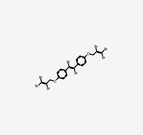 BrC(Br)=C(Br)COc1ccc(C(Br)=C(Br)c2ccc(OCC(Br)=C(Br)Br)cc2)cc1